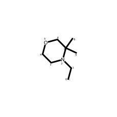 [CH2]CN1CCOCC1(C)C